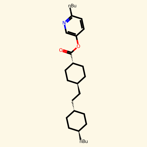 CCCCc1ccc(OC(=O)[C@H]2CC[C@H](CC[C@H]3CC[C@H](CCCC)CC3)CC2)cn1